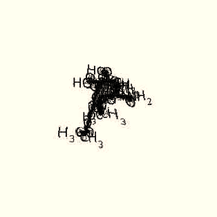 CC(C)C(=O)CCOCCOCCOCCOCCC(=O)N[C@@H](CCC(=O)O)C(=O)N[C@@H](CCC(=O)O)C(=O)N[C@H](C(=O)N[C@@H](CCCNC(N)=O)C(=O)Nc1ccc(COC(=O)C(C)C)cc1)C(C)C